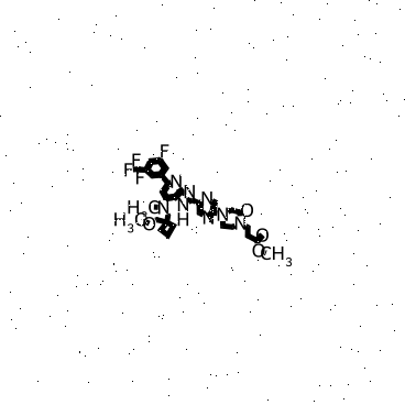 COCC1(CN(C)c2cc(-c3cc(F)cc(C(F)(F)F)c3)nc3nc(-c4cnc(N5CCN(CCC(=O)OC)C(=O)C5)cn4)[nH]c23)CCC1